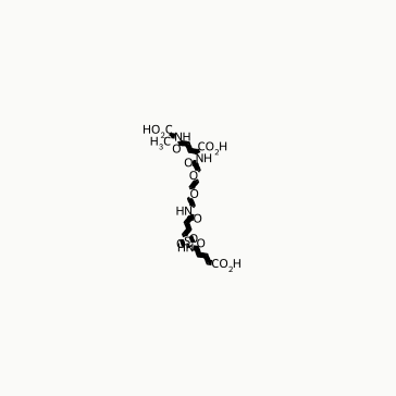 C[C@H](NC(=O)CC[C@H](NC(=O)COCCOCCNC(=O)CCCS(=O)(=O)NC(=O)CCCC(=O)O)C(=O)O)C(=O)O